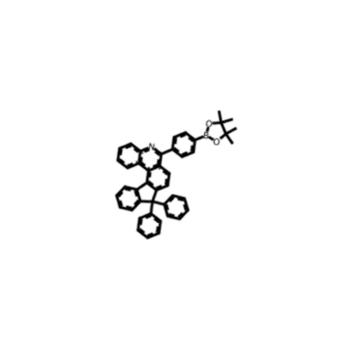 CC1(C)OB(c2ccc(-c3nc4ccccc4c4c5c(ccc34)C(c3ccccc3)(c3ccccc3)c3ccccc3-5)cc2)OC1(C)C